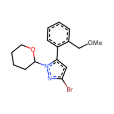 COCc1ccccc1-c1cc(Br)nn1C1CCCCO1